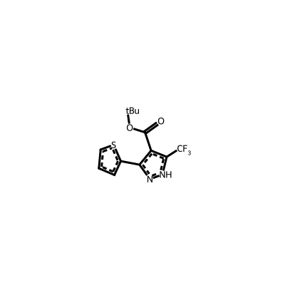 CC(C)(C)OC(=O)c1c(-c2cccs2)n[nH]c1C(F)(F)F